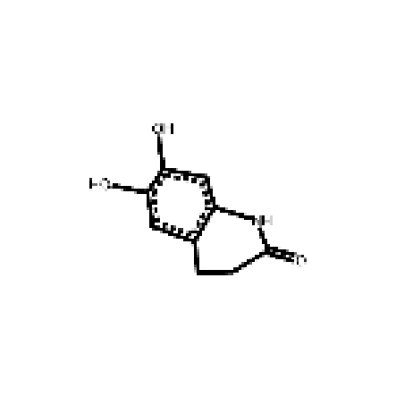 O=C1CCc2cc(O)c(O)cc2N1